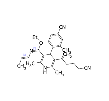 C=C(CCCC#N)C1=C(C)NC(C)=C(/C(=N\C=C\C)OCC)C1c1ccc(C#N)cc1C